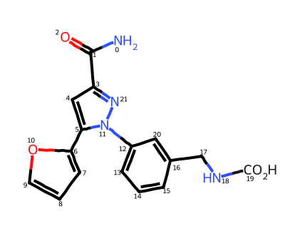 NC(=O)c1cc(-c2ccco2)n(-c2cccc(CNC(=O)O)c2)n1